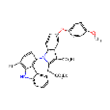 CCOC(=O)Cc1c(C(=O)OCC)c2cc(Oc3ccc(OC(F)(F)F)cc3)ccc2n1-c1ccc(CC)c2[nH]c3ccccc3c12